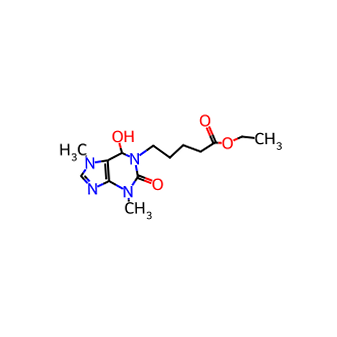 CCOC(=O)CCCCN1C(=O)N(C)c2ncn(C)c2C1O